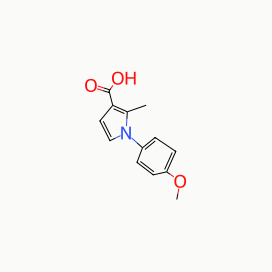 COc1ccc(-n2ccc(C(=O)O)c2C)cc1